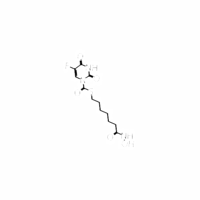 O=C(CCCCCCSC(=O)n1cc(F)c(=O)[nH]c1=O)NO